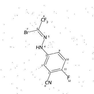 N#Cc1cc(N/N=C(\Br)C(F)(F)F)ccc1F